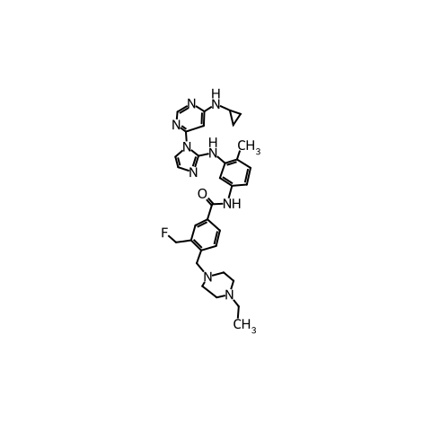 CCN1CCN(Cc2ccc(C(=O)Nc3ccc(C)c(Nc4nccn4-c4cc(NC5CC5)ncn4)c3)cc2CF)CC1